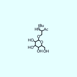 CC(=O)C(COC1OC(CO)C(O)C(O)C1O)NC(C)(C)C